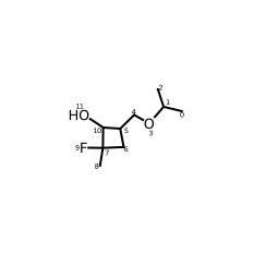 CC(C)OCC1CC(C)(F)C1O